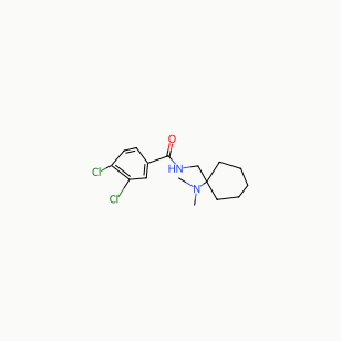 CN(C)C1(CNC(=O)c2ccc(Cl)c(Cl)c2)CCCCC1